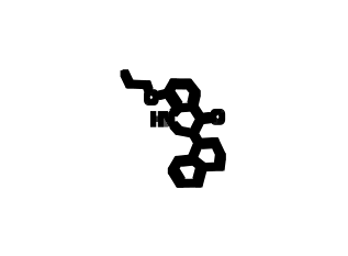 CCCOc1cccc2c1NCC(c1cccc3ccccc13)C2=O